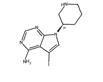 Nc1ncnc2c1c(I)cn2[C@@H]1CCCNC1